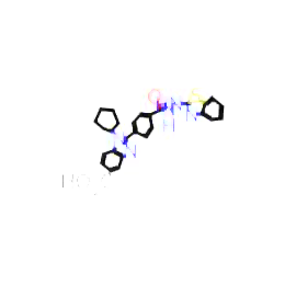 O=C(O)c1ccc2c(c1)nc(-c1ccc(C(=O)NNc3nc4ccccc4s3)cc1)n2C1CCCCC1